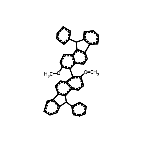 COc1ccc2c3c(ccc2c1-c1c(OC)ccc2c4c(ccc12)-c1ccccc1C4c1ccccc1)-c1ccccc1C3c1ccccc1